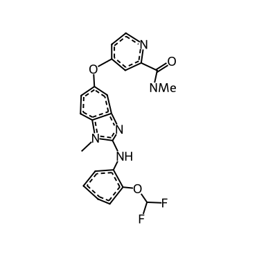 CNC(=O)c1cc(Oc2ccc3c(c2)nc(Nc2ccccc2OC(F)F)n3C)ccn1